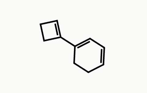 C1=CCCC(C2=CCC2)=C1